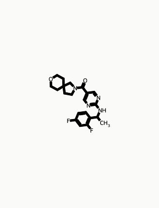 CC(Nc1ncc(C(=O)N2CCC3(CCOCC3)C2)cn1)c1ccc(F)cc1F